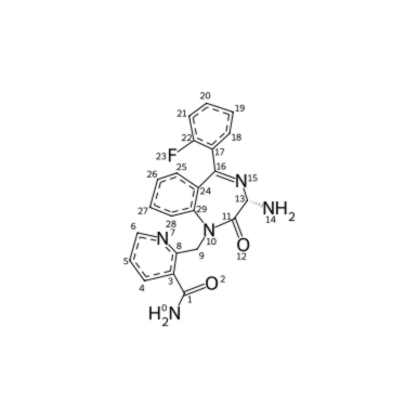 NC(=O)c1cccnc1CN1C(=O)[C@@H](N)N=C(c2ccccc2F)c2ccccc21